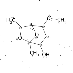 COC1CC(O)C2(C)OC(C)C1O2